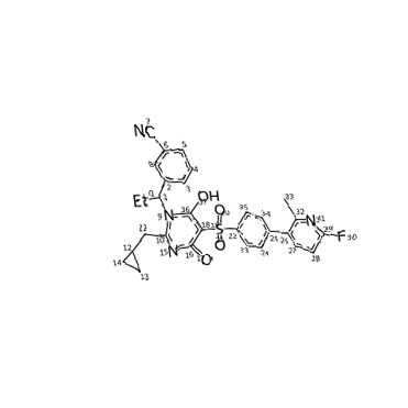 CCC(c1cccc(C#N)c1)n1c(CC2CC2)nc(=O)c(S(=O)(=O)c2ccc(-c3ccc(F)nc3C)cc2)c1O